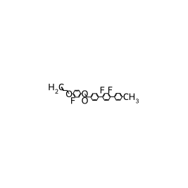 C=CCOc1ccc(OC(=O)c2ccc(-c3ccc(-c4ccc(C)cc4)c(F)c3F)cc2)cc1F